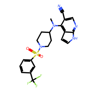 CN(c1c(C#N)cnc2[nH]ccc12)C1CCN(S(=O)(=O)c2cccc(C(F)(F)F)c2)CC1